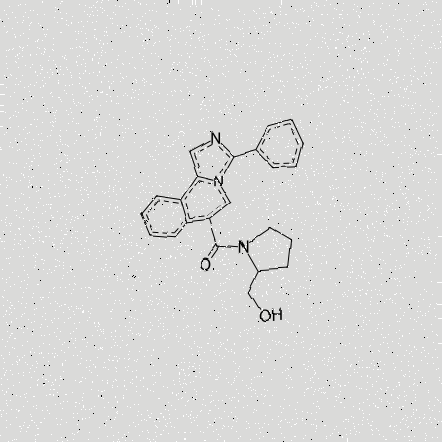 O=C(c1cn2c(-c3ccccc3)ncc2c2ccccc12)N1CCCC1CO